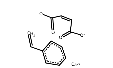 C=Cc1ccccc1.O=C([O-])/C=C\C(=O)[O-].[Ca+2]